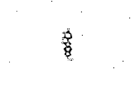 O=C[C@@H]1Cc2cc3c(cc2C1)C(=O)N(C1CCC(=O)NC1=O)C3